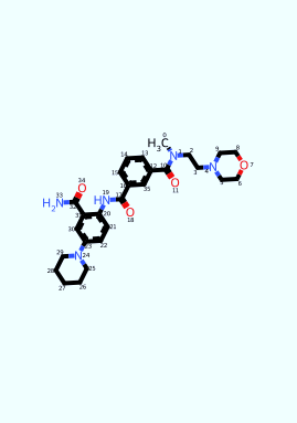 CN(CCN1CCOCC1)C(=O)c1cccc(C(=O)Nc2ccc(N3CCCCC3)cc2C(N)=O)c1